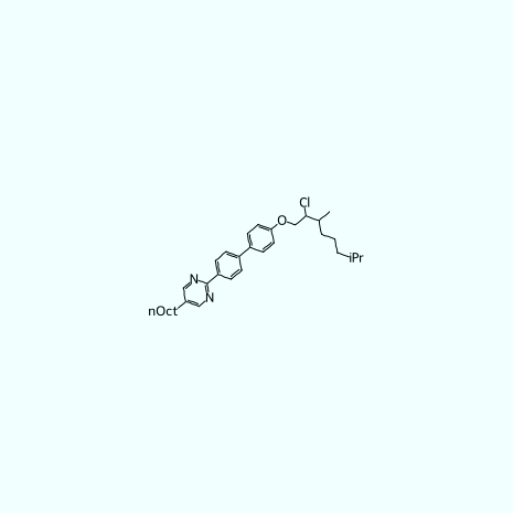 CCCCCCCCc1cnc(-c2ccc(-c3ccc(OCC(Cl)C(C)CCCC(C)C)cc3)cc2)nc1